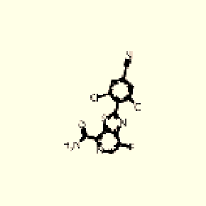 N#Cc1cc(Cl)c(-c2nc3c(F)cnc(C(N)=O)c3s2)c(Cl)c1